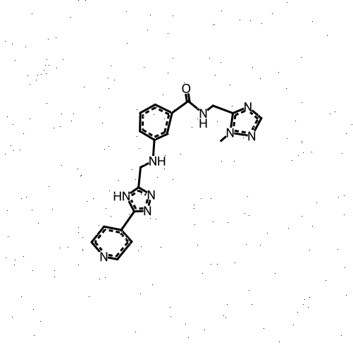 Cn1ncnc1CNC(=O)c1cccc(NCc2nnc(-c3ccncc3)[nH]2)c1